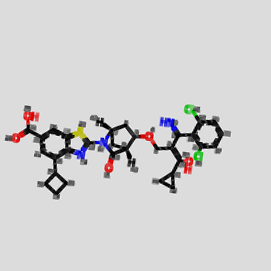 N=C(/C(CO[C@@H]1C[C@@H]2C[C@H]1C(=O)N2c1nc2c(C3CCC3)cc(C(=O)O)cc2s1)=C(\O)C1CC1)c1c(Cl)cccc1Cl